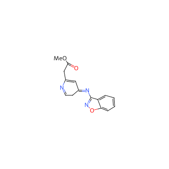 COC(=O)CC1=CC(=Nc2noc3ccccc23)CC=N1